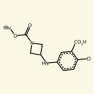 CC(C)(C)OC(=O)N1CC(Nc2ccc(Cl)c(C(=O)O)c2)C1